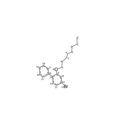 CCCCCCCCOc1cc(Br)ccc1-c1ccccc1